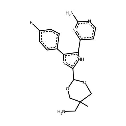 CC1(CN)COC(c2nc(-c3ccc(F)cc3)c(-c3ccnc(N)n3)[nH]2)OC1